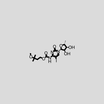 COC(C)(C)CCOC(=O)Nc1nc(=O)n([C@@H]2O[C@H](C)[C@@H](O)[C@H]2O)cc1I